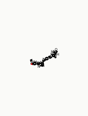 CCC1(C(=O)NC2CCC2)CCN(c2ccc(-c3nc(-c4cnn(C5CCC(N6CCN(c7cc(OC)c(NC8CCC(=O)NC8=O)cc7F)CC6)CC5)c4)cn4ncc(C#N)c34)cn2)CC1